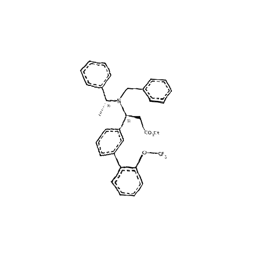 CCOC(=O)C[C@@H](c1cccc(-c2ccccc2OC(F)(F)F)c1)N(Cc1ccccc1)[C@H](C)c1ccccc1